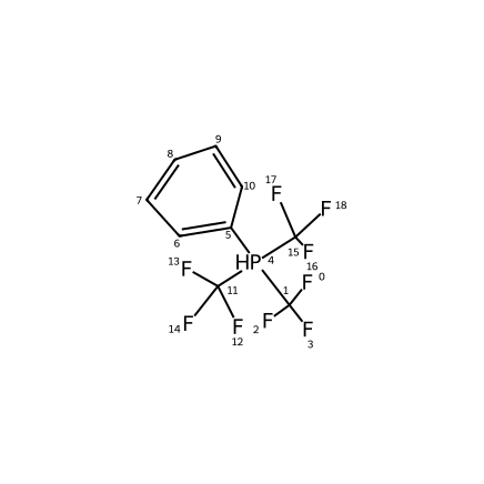 FC(F)(F)[PH](c1ccccc1)(C(F)(F)F)C(F)(F)F